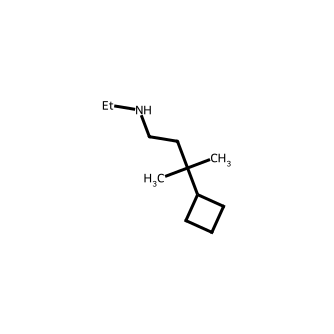 CCNCCC(C)(C)C1CCC1